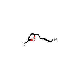 CC=CCCc1ccc(C)o1